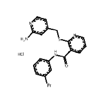 CC(C)c1cccc(NC(=O)c2cccnc2SCc2ccnc(N)c2)c1.Cl